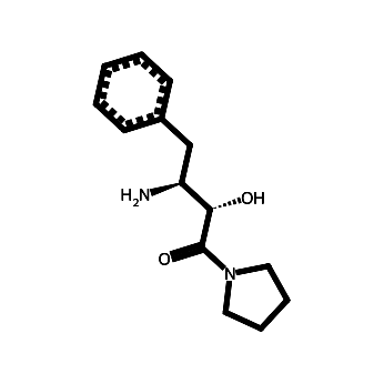 N[C@@H](Cc1ccccc1)[C@H](O)C(=O)N1CCCC1